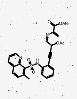 C=C(/N=C\C(C#Cc1ccccc1NS(=O)(=O)c1c(C)ccc2cccnc12)OC(C)=O)C(=O)OC